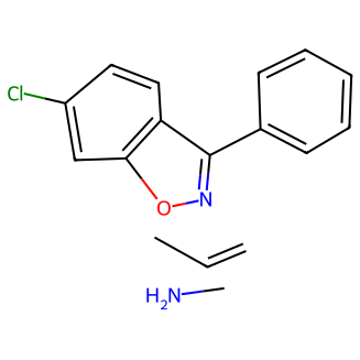 C=CC.CN.Clc1ccc2c(-c3ccccc3)noc2c1